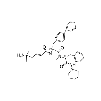 CN(C(=O)C=CCC(C)(C)N)[C@H](Cc1ccc(-c2ccccc2)cc1)C(=O)N(C)[C@H](Cc1ccccc1)C(=O)NN1CCCCC1